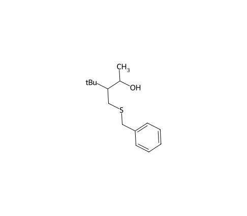 CC(O)C(CSCc1ccccc1)C(C)(C)C